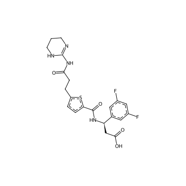 O=C(O)C[C@@H](NC(=O)c1ccc(CCC(=O)NC2=NCCCN2)s1)c1cc(F)cc(F)c1